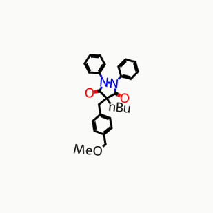 CCCCC1(Cc2ccc(COC)cc2)C(=O)N(c2ccccc2)N(c2ccccc2)C1=O